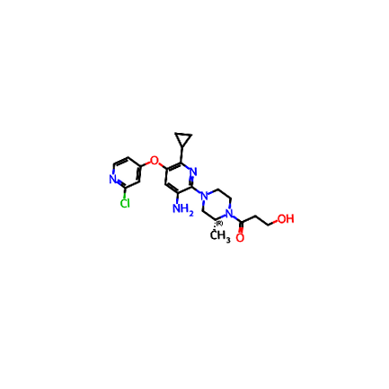 C[C@@H]1CN(c2nc(C3CC3)c(Oc3ccnc(Cl)c3)cc2N)CCN1C(=O)CCO